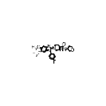 Cc1cc2nc(N3CCC(C(=O)N[C@@H]4CCOC4)CC3)n(-c3ccc(F)cc3)c2cc1C